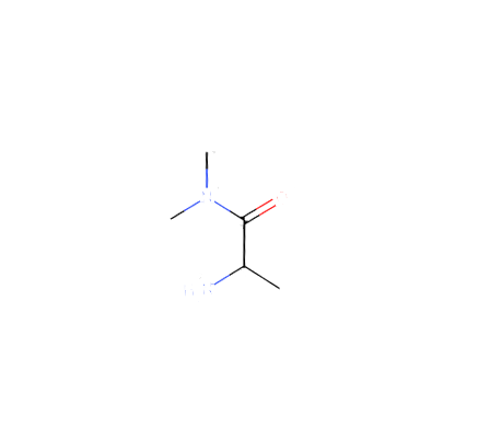 [CH2]C(N)C(=O)N(C)C